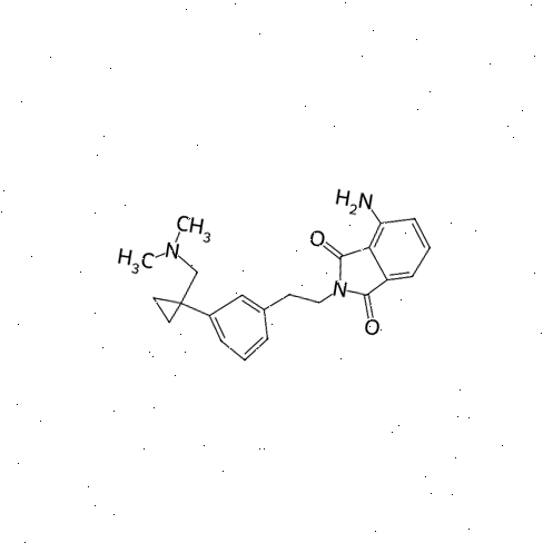 CN(C)CC1(c2cccc(CCN3C(=O)c4cccc(N)c4C3=O)c2)CC1